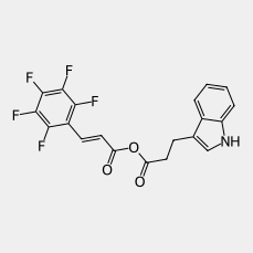 O=C(/C=C/c1c(F)c(F)c(F)c(F)c1F)OC(=O)CCc1c[nH]c2ccccc12